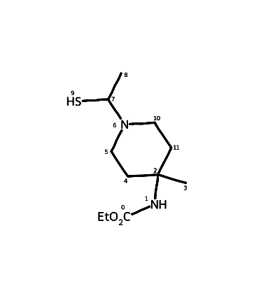 CCOC(=O)NC1(C)CCN(C(C)S)CC1